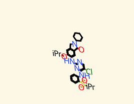 CC(C)Oc1cc2c(cc1Nc1ncc(Cl)c(Nc3ccccc3S(=O)(=O)C(C)C)n1)C(=O)N(C1CCCCC1)C2